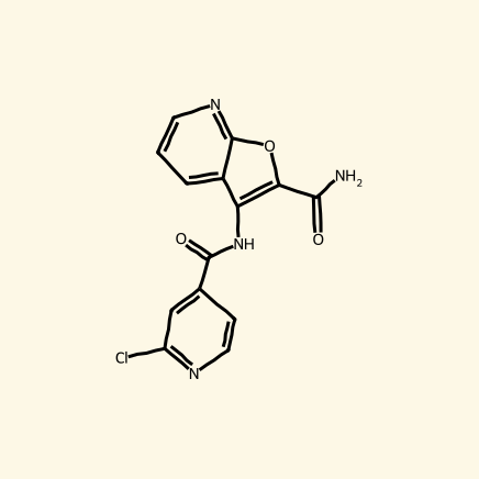 NC(=O)c1oc2ncccc2c1NC(=O)c1ccnc(Cl)c1